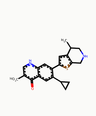 CC1CNCc2sc(-c3cc4[nH]cc(C(=O)O)c(=O)c4cc3C3CC3)cc21